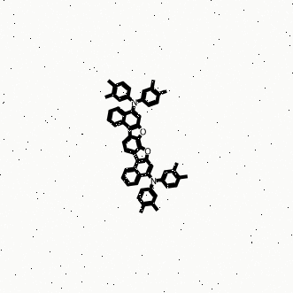 Cc1ccc(N(c2ccc(C)c(C)c2)c2cc3oc4c(ccc5c4oc4cc(N(c6ccc(C)c(C)c6)c6ccc(C)c(C)c6)c6ccccc6c45)c3c3ccccc23)cc1C